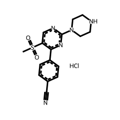 CS(=O)(=O)c1cnc(N2CCNCC2)nc1-c1ccc(C#N)cc1.Cl